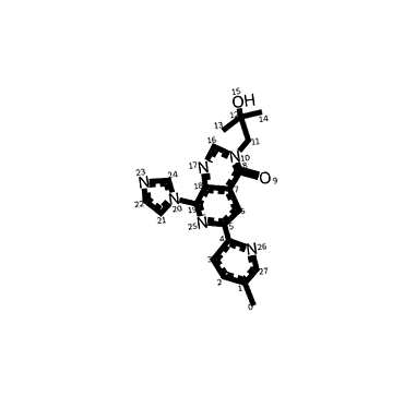 Cc1ccc(-c2cc3c(=O)n(CC(C)(C)O)cnc3c(-n3ccnc3)n2)nc1